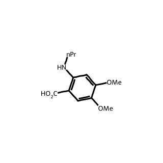 CCCNc1cc(OC)c(OC)cc1C(=O)O